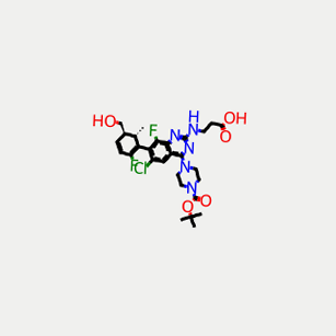 C[C@@H]1C(c2c(Cl)cc3c(N4CCN(C(=O)OC(C)(C)C)CC4)nc(NCCC(=O)O)nc3c2F)=C(F)C=C[C@H]1CO